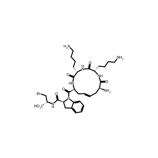 CC(C)C[C@H](NC(=O)[C@@H]1Cc2ccccc2N1C(=O)[C@@H]1C/C=C/C[C@H](N)C(=O)N[C@@H](CCCCN)C(=O)N[C@@H](CCCCN)C(=O)N1)C(=O)O